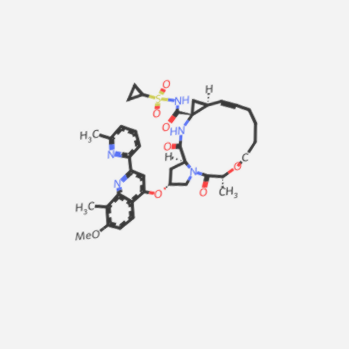 COc1ccc2c(O[C@@H]3C[C@H]4C(=O)N[C@]5(C(=O)NS(=O)(=O)C6CC6)C[C@H]5/C=C\CCCCO[C@H](C)C(=O)N4C3)cc(-c3cccc(C)n3)nc2c1C